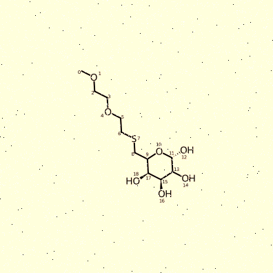 COCCOCCSCC1O[C@H](O)C(O)[C@@H](O)[C@H]1O